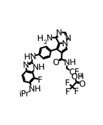 CC(C)Nc1ccc2nc(Nc3ccc(-c4c(C(=O)NCC(F)(F)F)cn5ncnc(N)c45)cc3)[nH]c2c1F.O=C(O)C(F)(F)F